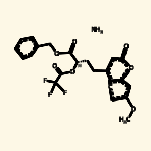 COc1ccc2c(CC[C@H](OC(=O)C(F)(F)F)C(=O)OCc3ccccc3)cc(=O)oc2c1.N